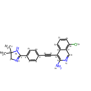 CC1(C)CN=C(c2ccc(C#Cc3c(N)ncc4c(Cl)cccc34)cc2)N1